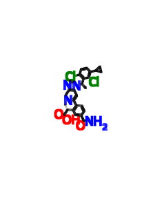 C[C@H](c1c(Cl)ccc(C2CC2)c1Cl)n1cnc2cnc(-c3ccc(C(N)=O)cc3[C@@H](C)C(=O)O)cc21